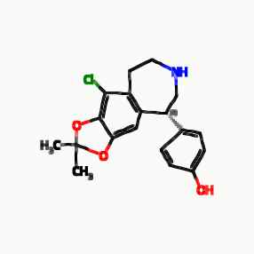 CC1(C)Oc2cc3c(c(Cl)c2O1)CCNC[C@@H]3c1ccc(O)cc1